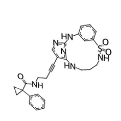 O=C(NCCC#Cc1cnc2nc1NCCCNS(=O)(=O)c1cccc(c1)N2)C1(c2ccccc2)CC1